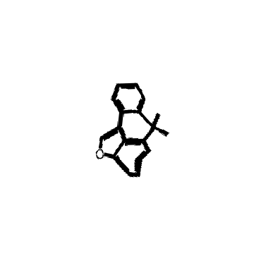 CC1(C)c2ccccc2-c2coc3cccc1c23